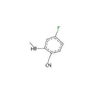 CBc1cc(F)ccc1C#N